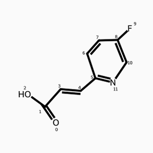 O=C(O)/C=C/c1ccc(F)cn1